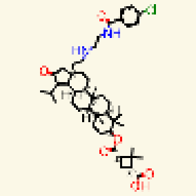 CC(C)C1=C2[C@H]3CC[C@@H]4[C@@]5(C)CC[C@H](OC(=O)[C@H]6C[C@@H](C(=O)O)C6(C)C)C(C)(C)[C@@H]5CC[C@@]4(C)[C@]3(C)CC[C@@]2(CCNCCNC(=O)c2ccc(Cl)cc2)CC1=O